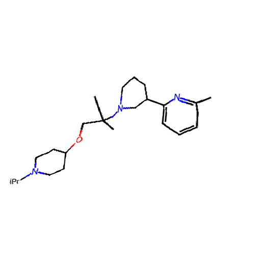 Cc1cccc(C2CCCN(C(C)(C)COC3CCN(C(C)C)CC3)C2)n1